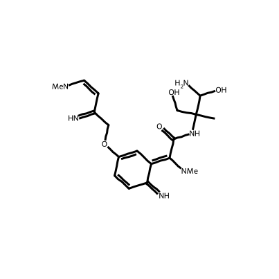 CN/C=C\C(=N)COC1=C/C(=C(/NC)C(=O)NC(C)(CO)C(N)O)C(=N)C=C1